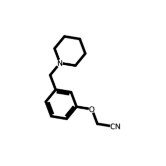 N#CCOc1cccc(CN2CCCCC2)c1